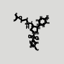 CC(C)OCCNCC1CN(S(=O)(=O)c2cn(C)cn2)CC1c1ccc(F)cc1